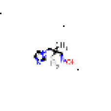 CC(C)(C=NO)Cn1ccnc1